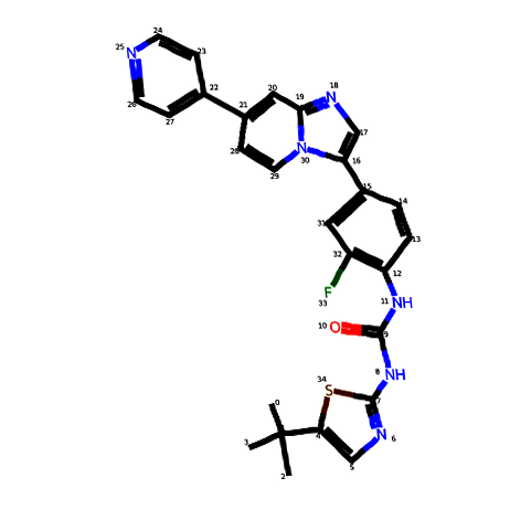 CC(C)(C)c1cnc(NC(=O)Nc2ccc(-c3cnc4cc(-c5ccncc5)ccn34)cc2F)s1